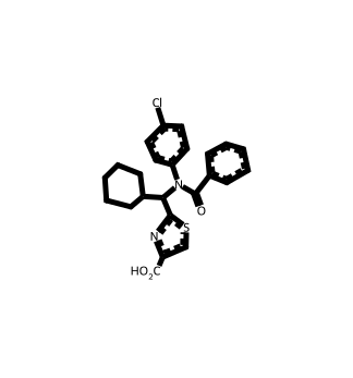 O=C(O)c1csc(C(C2CCCCC2)N(C(=O)c2ccccc2)c2ccc(Cl)cc2)n1